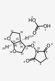 O=C(O)O.O=C1CCC(=O)N1O[C@H]1CO[C@H]2OCC[C@H]21